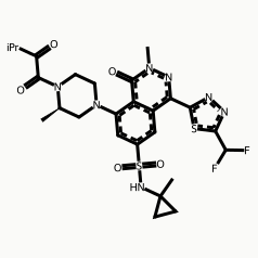 CC(C)C(=O)C(=O)N1CCN(c2cc(S(=O)(=O)NC3(C)CC3)cc3c(-c4nnc(C(F)F)s4)nn(C)c(=O)c23)C[C@H]1C